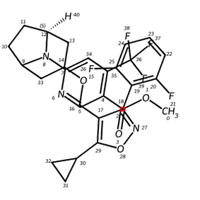 COC(=O)c1cnc(N2C3CC[C@H]2CC(OCc2c(-c4c(F)cccc4F)noc2C2CC2)C3)cc1C(F)(F)F